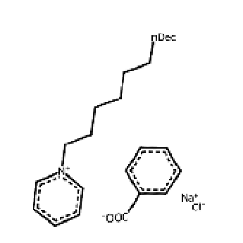 CCCCCCCCCCCCCCCC[n+]1ccccc1.O=C([O-])c1ccccc1.[Cl-].[Na+]